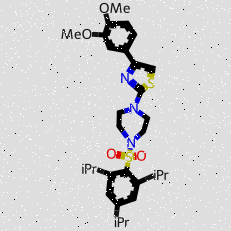 COc1ccc(-c2csc(N3CCN(S(=O)(=O)c4c(C(C)C)cc(C(C)C)cc4C(C)C)CC3)n2)cc1OC